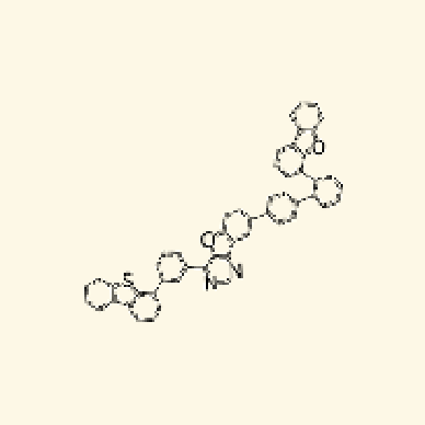 c1cc(-c2ncnc3c2oc2ccc(-c4ccc(-c5ccccc5-c5cccc6c5oc5ccccc56)cc4)cc23)cc(-c2cccc3c2sc2ccccc23)c1